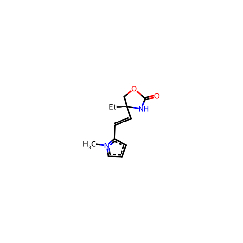 CC[C@@]1(/C=C/c2cccn2C)COC(=O)N1